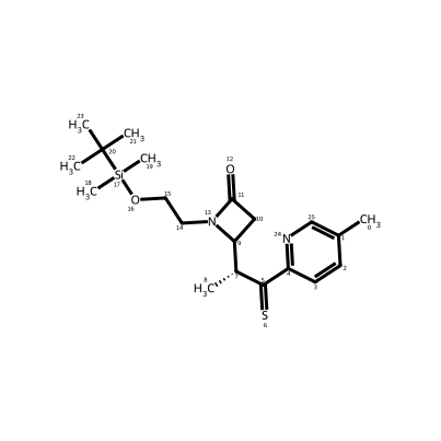 Cc1ccc(C(=S)[C@H](C)C2CC(=O)N2CCO[Si](C)(C)C(C)(C)C)nc1